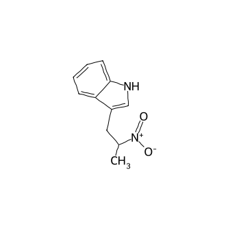 CC(Cc1c[nH]c2ccccc12)[N+](=O)[O-]